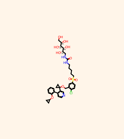 O=C(NCCCCCS(=O)(=O)c1ccc(Cl)c(COC2(c3cnccc3-c3ccccc3OC3CC3)CC2)c1)NC[C@H](O)[C@@H](O)[C@H](O)[C@H](O)CO